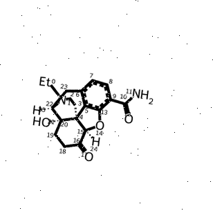 CCN1CC[C@]23c4c5ccc(C(N)=O)c4O[C@H]2C(=O)CC[C@@]3(O)[C@H]1C5